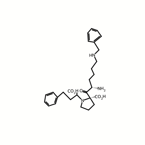 N[C@@H](CCCCNCc1ccccc1)C(=O)[C@@]1(C(=O)O)CCCN1C(CCc1ccccc1)C(=O)O